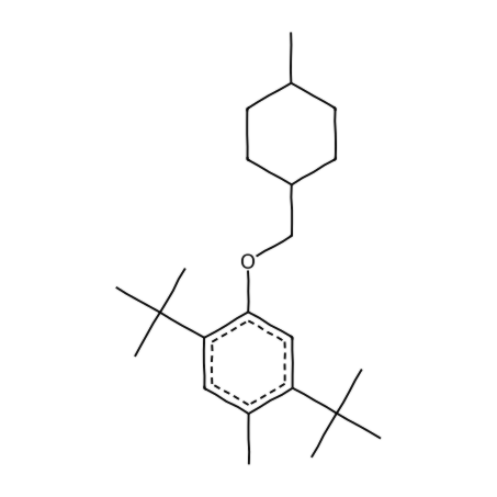 Cc1cc(C(C)(C)C)c(OCC2CCC(C)CC2)cc1C(C)(C)C